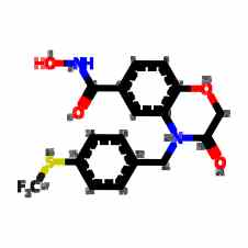 O=C(NO)c1ccc2c(c1)N(Cc1ccc(SC(F)(F)F)cc1)C(=O)CO2